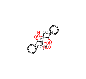 O.O=C(O)[C@@](O)(C(=O)c1ccccc1)[C@@](O)(C(=O)O)C(=O)c1ccccc1